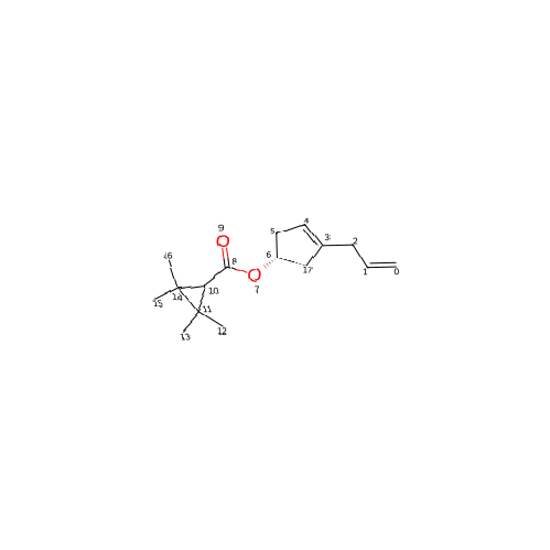 C=CCC1=CC[C@@H](OC(=O)C2C(C)(C)C2(C)C)C1